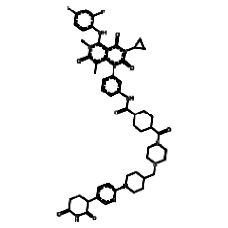 Cc1c(=O)n(C)c(Nc2ccc(I)cc2F)c2c(=O)n(C3CC3)c(=O)n(-c3cccc(NC(=O)C4CCC(C(=O)N5CCN(CC6CCN(c7ccc(C8CCC(=O)NC8=O)cn7)CC6)CC5)CC4)c3)c12